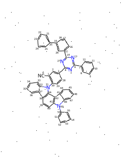 N#Cc1cc(-c2nc(-c3ccccc3)nc(-c3cccc(-c4ccccc4)c3)n2)ccc1-n1c2ccccc2c2ccc3c(c4ccccc4n3-c3ccccc3)c21